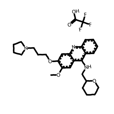 COc1cc2c(NCC3CCCCO3)c3ccccc3nc2cc1OCCCN1CCCC1.O=C(O)C(F)(F)F